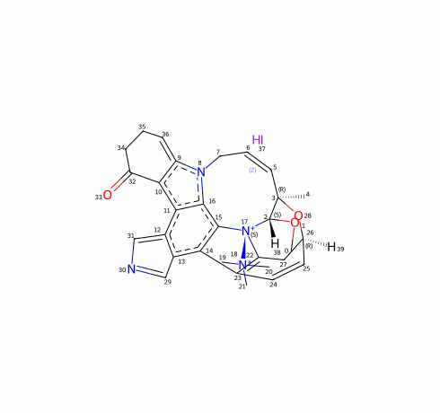 CO[C@H]1[C@@]2(C)/C=C\Cn3c4c(c5c6c(c7c(c53)[N@@+]1([N+](C)(C)C)C1=C7C=C[C@@H](C1)O2)C=NC=6)C(=O)CCC=4.I